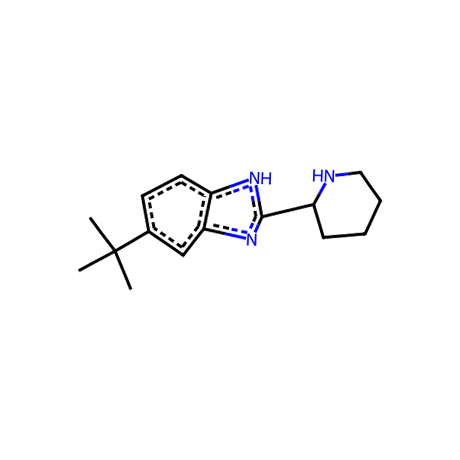 CC(C)(C)c1ccc2[nH]c(C3CCCCN3)nc2c1